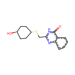 O=c1[nH]c(CS[C@H]2CC[C@H](O)CC2)nc2ccccc12